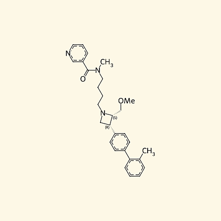 COC[C@@H]1[C@H](c2ccc(-c3ccccc3C)cc2)CN1CCCCN(C)C(=O)c1cccnc1